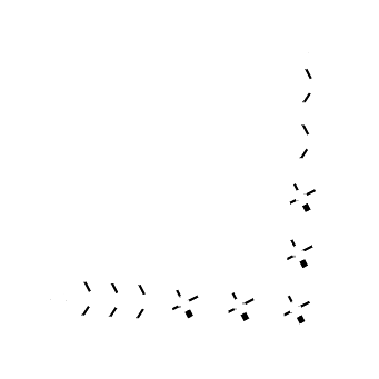 ClOCl.ClOCl.ClOCl.ClOCl.ClOCl.O=P([O-])([O-])[O-].O=P([O-])([O-])[O-].O=P([O-])([O-])[O-].O=P([O-])([O-])[O-].O=P([O-])([O-])[O-].[V+5].[V+5].[V+5]